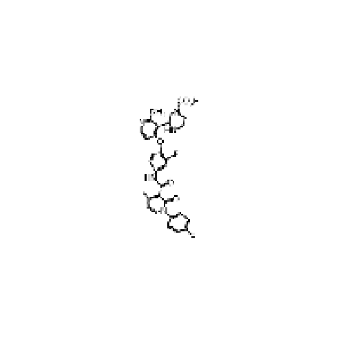 Nc1nccc(Oc2ccc(NC(=O)c3c(I)ccn(-c4ccc(F)cc4)c3=O)cc2F)c1C1CN(C(=O)O)CCN1